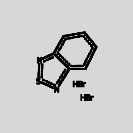 Br.Br.c1ccc2nsnc2c1